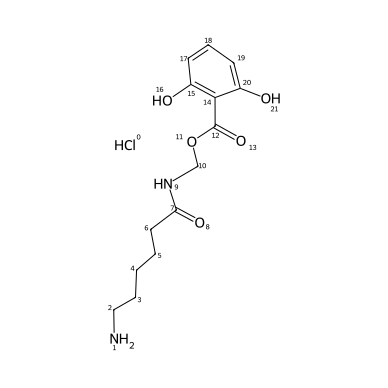 Cl.NCCCCCC(=O)NCOC(=O)c1c(O)cccc1O